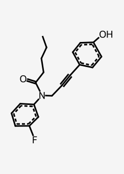 CCCCC(=O)N(CC#Cc1ccc(O)cc1)c1cccc(F)c1